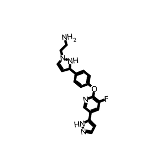 NCCN1C=CC(c2ccc(Oc3ncc(-c4ccn[nH]4)cc3F)cc2)N1